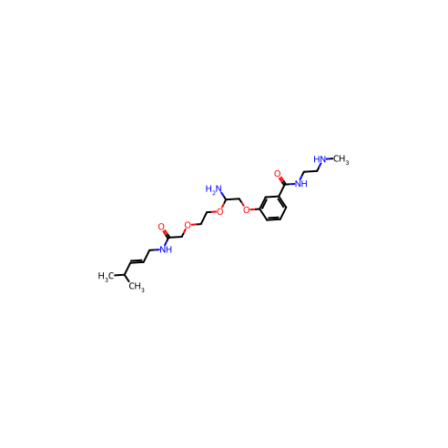 CNCCNC(=O)c1cccc(OCC(N)OCCOCC(=O)NC/C=C/C(C)C)c1